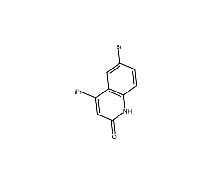 CC(C)c1cc(=O)[nH]c2ccc(Br)cc12